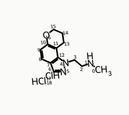 CNCCn1ncc2ccc3c(c21)CCCO3.Cl.Cl